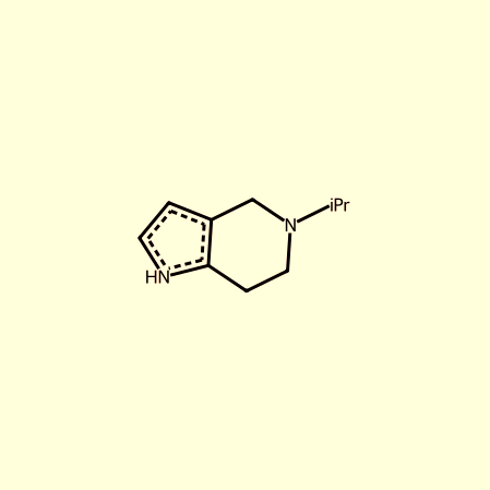 CC(C)N1CCc2[nH]ccc2C1